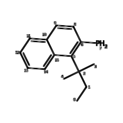 CCC(C)(C)c1c(P)ccc2ccccc12